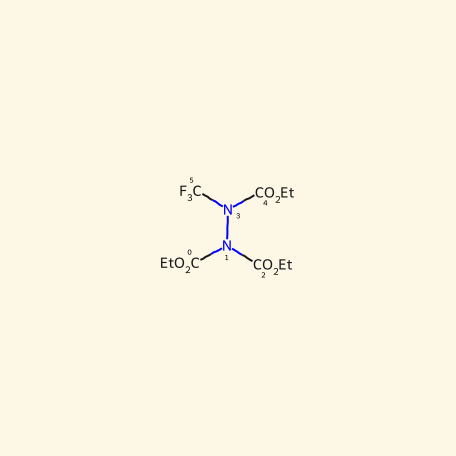 CCOC(=O)N(C(=O)OCC)N(C(=O)OCC)C(F)(F)F